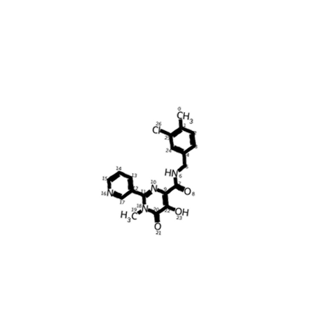 Cc1ccc(CNC(=O)c2nc(-c3cccnc3)n(C)c(=O)c2O)cc1Cl